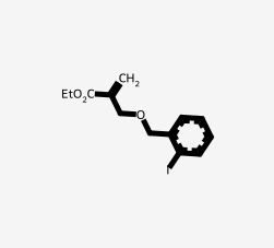 C=C(COCc1ccccc1I)C(=O)OCC